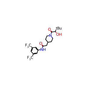 CC(C)(C)C(O)C(=O)N1CCC(CC(=O)Nc2cc(C(F)(F)F)cc(C(F)(F)F)c2)CC1